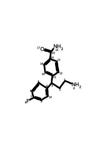 NCCC(c1ccc(F)cc1)c1ccc(C(N)=O)cc1